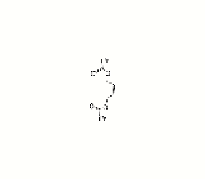 CC(C)C(=O)OC/C=C\COC(=O)C(C)C